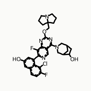 Oc1cc(-c2ncc3c(N4CC5CC(O)C(C5)C4)nc(OCC45CCCN4CCC5)nc3c2F)c2c(Cl)c(F)ccc2c1